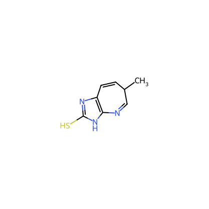 CC1C=Cc2nc(S)[nH]c2N=C1